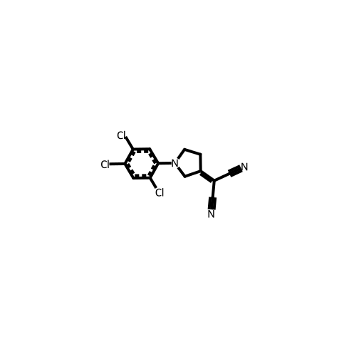 N#CC(C#N)=C1CCN(c2cc(Cl)c(Cl)cc2Cl)C1